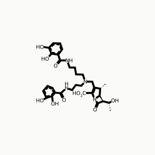 C[C@H]1C(CN(CCCCNC(=O)c2cccc(O)c2O)CCCNC(=O)c2cccc(O)c2O)=C(C(=O)O)N2C(=O)[C@H]([C@@H](C)O)C12